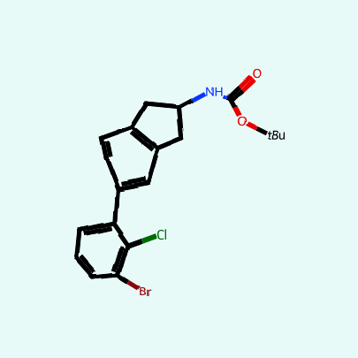 CC(C)(C)OC(=O)NC1Cc2ccc(-c3cccc(Br)c3Cl)cc2C1